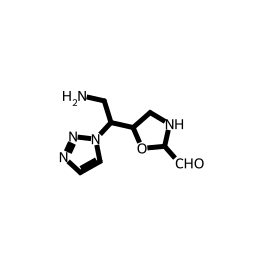 NCC(C1CNC(C=O)O1)n1ccnn1